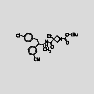 CCC1(C(=O)NC(C)C(Cc2ccc(Cl)cc2)c2cccc(C#N)c2)CN(C(=O)OC(C)(C)C)C1